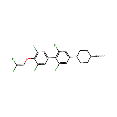 CCCCC[C@H]1CC[C@H](c2cc(F)c(-c3cc(F)c(OC=C(F)F)c(F)c3)c(F)c2)CC1